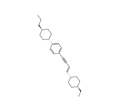 CCC[C@H]1CC[C@H](c2ccc(C#C/C=C/[C@H]3CC[C@H](CC)CC3)cc2)CC1